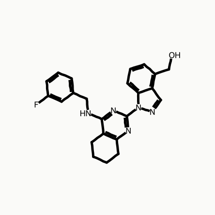 OCc1cccc2c1cnn2-c1nc2c(c(NCc3cccc(F)c3)n1)CCCC2